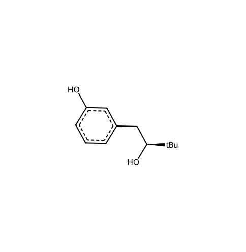 CC(C)(C)[C@@H](O)Cc1cccc(O)c1